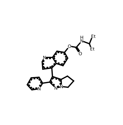 CCC(CC)NC(=O)Oc1ccc2c(-c3c(-c4ccccn4)nn4c3CCC4)ccnc2c1